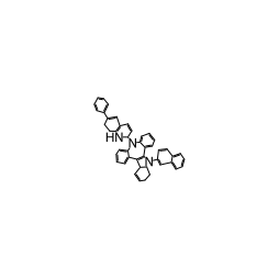 C1=CC2C3=C(c4ccccc4N(C4C=CC5=C(CCC(c6ccccc6)=C5)N4)c4ccccc43)N(c3ccc4ccccc4c3)C2CC1